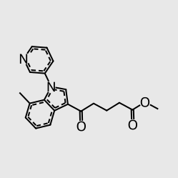 COC(=O)CCCC(=O)c1cn(-c2cccnc2)c2c(C)cccc12